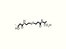 C[C@@H](O)CC(=O)NCCSSCCC(=O)N(C)[C@@H](C)C(=O)O